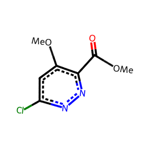 COC(=O)c1nnc(Cl)cc1OC